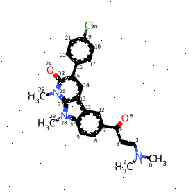 CN(C)/C=C/C(=O)c1ccc2c(c1)c1cc(-c3ccc(Cl)cc3)c(=O)n(C)c1n2C